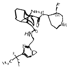 CC(F)(F)c1coc(CNC(=O)C2C3CCC(C34CC4)C2(N)C(=O)NC2CCNC[C@@H]2F)n1